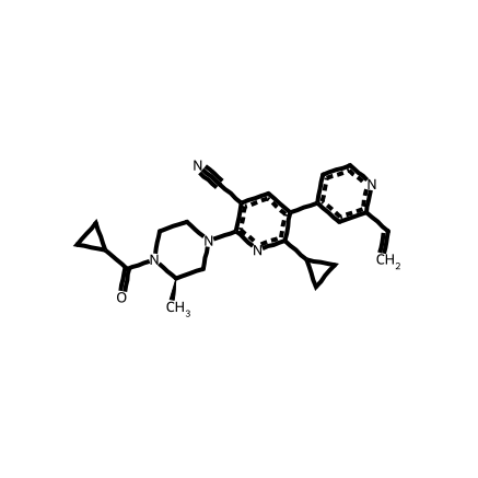 C=Cc1cc(-c2cc(C#N)c(N3CCN(C(=O)C4CC4)[C@H](C)C3)nc2C2CC2)ccn1